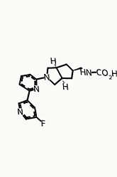 O=C(O)NC[C@@H]1C[C@@H]2CN(c3cccc(-c4cncc(F)c4)n3)C[C@@H]2C1